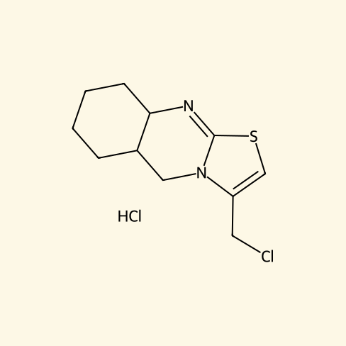 Cl.ClCC1=CSC2=NC3CCCCC3CN12